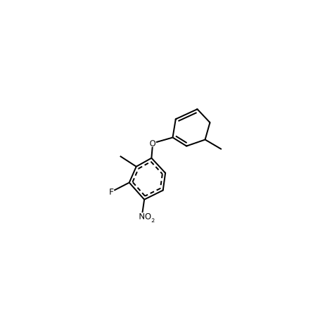 Cc1c(OC2=CC(C)CC=C2)ccc([N+](=O)[O-])c1F